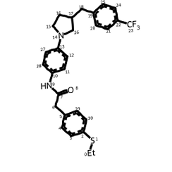 CCSc1ccc(CC(=O)Nc2ccc(N3CCC(Cc4ccc(C(F)(F)F)cc4)C3)cc2)cc1